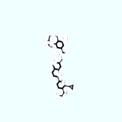 O=C(NCc1cc2nc(-c3ccc([C@H](F)C(F)F)c(C4CC4)n3)ccc2cn1)c1cc(Cl)c2c(c1)S(=O)(=O)[C@@H](F)COC2